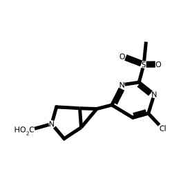 CS(=O)(=O)c1nc(Cl)cc(C2C3CN(C(=O)O)CC32)n1